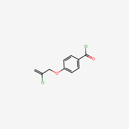 C=C(Cl)COc1ccc(C(=O)Cl)cc1